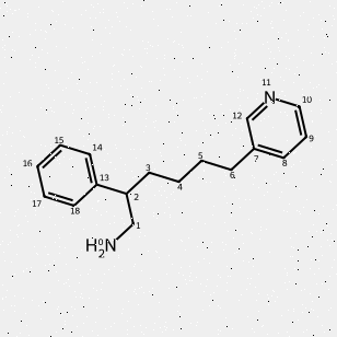 NCC(CCCCc1cccnc1)c1ccccc1